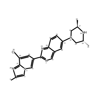 Cc1cn2cc(-c3ncc4cc(N5C[C@@H](C)N[C@H](C)C5)ccc4n3)cc(Cl)c2n1